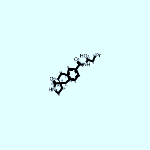 CC(C)CC(O)NC(=O)c1ccc2c(c1)CC[C@]1(CCNC1=O)C2